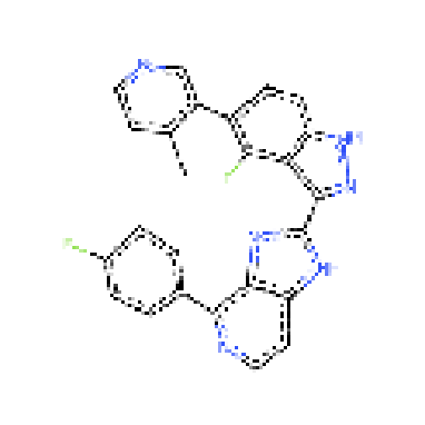 Cc1ccncc1-c1ccc2[nH]nc(-c3nc4c(-c5ccc(F)cc5)nccc4[nH]3)c2c1F